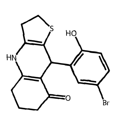 O=C1CCCC2=C1C(c1cc(Br)ccc1O)C1=C(CCS1)N2